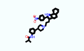 CC(C)C(=O)Nc1cccc(C2CCN(CCCc3c(-c4ccc([N+](=O)[O-])cc4)[nH]c4c3ccc3ccccc34)CC2)c1